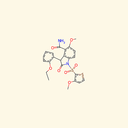 CCOc1ccccc1[C]1C(=O)N(S(=O)(=O)c2sccc2OC)c2ccc(OC)c(C(N)=O)c21